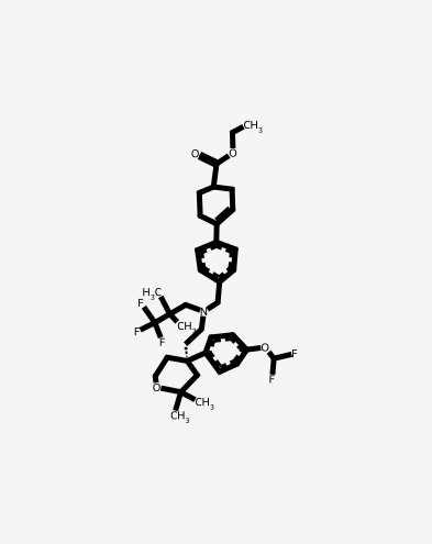 CCOC(=O)C1CC=C(c2ccc(CN(CC[C@@]3(c4ccc(OC(F)F)cc4)CCOC(C)(C)C3)CC(C)(C)C(F)(F)F)cc2)CC1